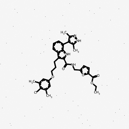 CCOC(=O)c1ccc(CNC(=O)c2[nH]c3c(-c4c(C)n[nH]c4C)cccc3c2CCCOc2cc(C)c(Cl)c(C)c2)o1